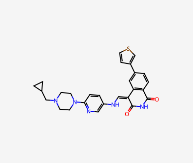 O=C1NC(=O)c2ccc(-c3ccsc3)cc2C1=CNc1ccc(N2CCN(CC3CC3)CC2)nc1